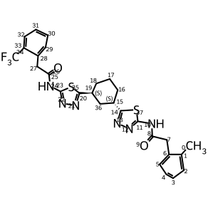 Cc1ccccc1CC(=O)Nc1nnc([C@H]2CCC[C@H](c3nnc(NC(=O)Cc4ccccc4C(F)(F)F)s3)C2)s1